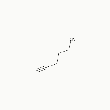 [C]#CCCCC#N